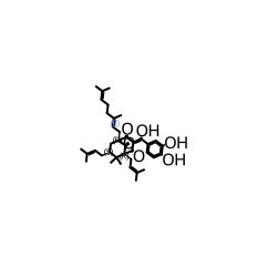 CC(C)=CCC/C(C)=C/C[C@@]12C[C@H](CC=C(C)C)C(C)(C)[C@@](CC=C(C)C)(C(=O)C(=C(O)c3ccc(O)c(O)c3)C1=O)C2=O